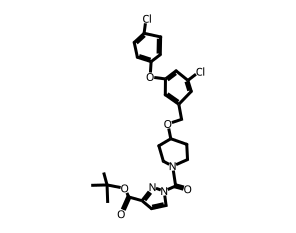 CC(C)(C)OC(=O)c1ccn(C(=O)N2CCC(OCc3cc(Cl)cc(Oc4ccc(Cl)cc4)c3)CC2)n1